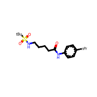 CCCc1ccc(NC(=O)CCCCNS(=O)(=O)C(C)(C)C)cc1